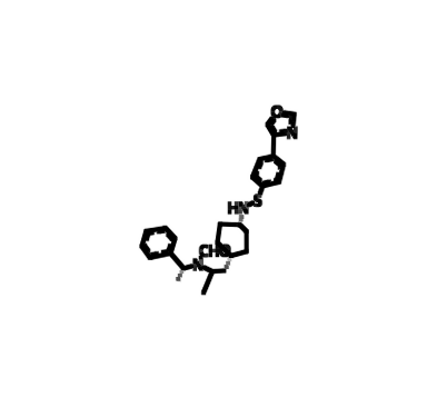 CC(C[C@H]1CC[C@@H](NSc2ccc(-c3cocn3)cc2)CC1)N(C=O)[C@H](C)c1ccccc1